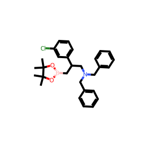 CC1(C)OB(CC(CN(Cc2ccccc2)Cc2ccccc2)c2cccc(Cl)c2)OC1(C)C